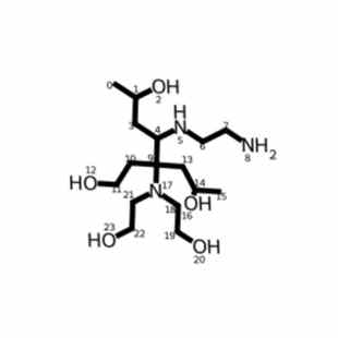 CC(O)CC(NCCN)C(CCO)(CC(C)O)N(CCO)CCO